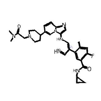 Cc1cc(F)c(C(=O)NC2CC2)cc1/C(C=N)=C/Nc1cnc2ccc(C3CCN(CC(=O)N(C)C)CC3)cn12